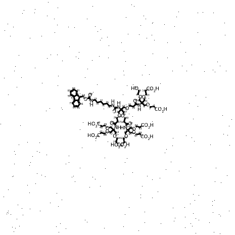 O=C(O)CCOCC(COCCO)(COCCC(=O)O)NC(=O)CCOCC(COCCC(=O)NC(COCCC(=O)O)(COCCC(=O)O)COCCC(=O)O)(COCCC(=O)NC(COCCC(=O)O)(COCCC(=O)O)COCCC(=O)O)NC(=O)NCCCCCCNC(=O)OCC1c2ccccc2-c2ccccc21